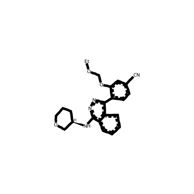 CCOCOc1cc(C#N)ccc1-c1nnc(N[C@@H]2CCCOC2)c2ccccc12